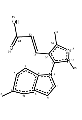 Cc1ccc2c(ccn2-c2c(/C=C/C(=O)O)c(C)nn2C)c1